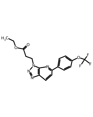 CCOC(=O)CCn1nnc2ccc(-c3ccc(OC(F)(F)F)cc3)nc21